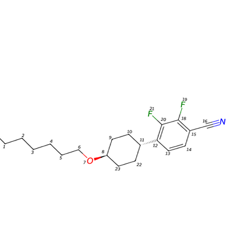 CCCCCCCO[C@H]1CC[C@H](c2ccc(C#N)c(F)c2F)CC1